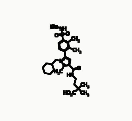 Cc1c(-c2cc(C(=O)NCCC(C)(C)C(=O)O)c(C)n2CC2CCCCC2)ccc(S(=O)(=O)NC(C)(C)C)c1C